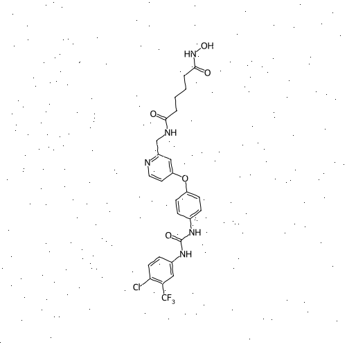 O=C(CCCCC(=O)NCc1cc(Oc2ccc(NC(=O)Nc3ccc(Cl)c(C(F)(F)F)c3)cc2)ccn1)NO